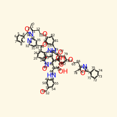 Cc1oc(-c2ccccc2)nc1CCOc1ccc(C[C@](Nc2ccccc2C(=O)c2ccncc2)(C(=O)O)c2cc[n+]([O-])c(C(CNc3ccc(C=O)cc3)C(=O)O)c2-c2ccc(OCCc3nc(-c4ccccc4)oc3C)cc2)cc1